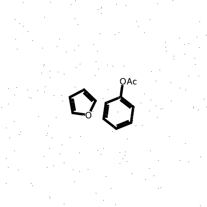 CC(=O)Oc1ccccc1.c1ccoc1